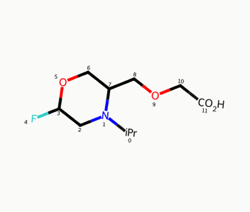 CC(C)N1CC(F)OCC1COCC(=O)O